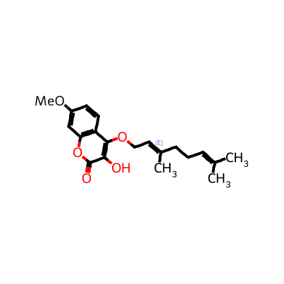 COc1ccc2c(OC/C=C(\C)CCC=C(C)C)c(O)c(=O)oc2c1